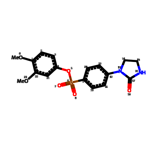 COc1ccc(OS(=O)(=O)c2ccc(N3CCNC3=O)cc2)cc1OC